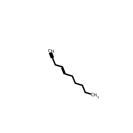 C#CCC=CCCCCC